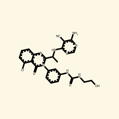 CC(Nc1ncnc(N)c1C#N)c1nc2cccc(Cl)c2c(=O)n1-c1cccc(NC(=O)NCCO)c1